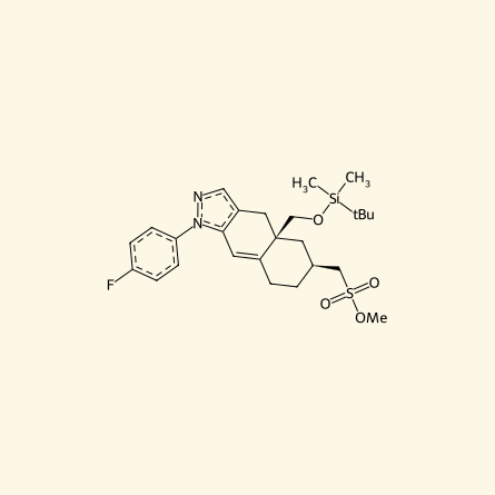 COS(=O)(=O)C[C@H]1CCC2=Cc3c(cnn3-c3ccc(F)cc3)C[C@]2(CO[Si](C)(C)C(C)(C)C)C1